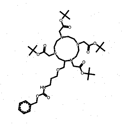 CC(C)(C)OC(=O)CN1CCN(CC(=O)OC(C)(C)C)CCN(CC(=O)OC(C)(C)C)C(COCCCNC(=O)OCc2ccccc2)CN(CC(=O)OC(C)(C)C)CC1